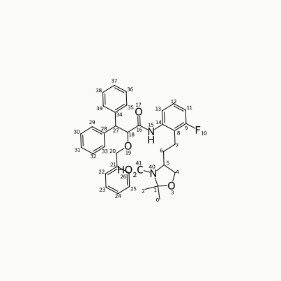 CC1(C)OCC(CCc2c(F)cccc2NC(=O)C(OCc2ccccc2)C(c2ccccc2)c2ccccc2)N1C(=O)O